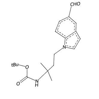 CC(C)(CCn1ccc2cc(C=O)ccc21)NC(=O)OC(C)(C)C